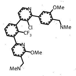 CNCc1ccc(-c2nccc(-c3cccc(-c4ccc(CNC)c(OC)n4)c3C(F)(F)F)c2Cl)cc1OC